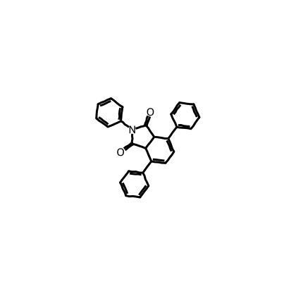 O=C1C2C(c3ccccc3)=CC=C(c3ccccc3)C2C(=O)N1c1ccccc1